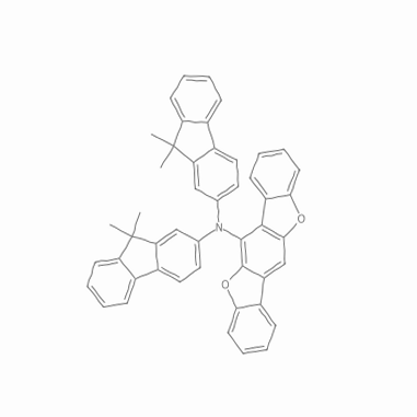 CC1(C)c2ccccc2-c2ccc(N(c3ccc4c(c3)C(C)(C)c3ccccc3-4)c3c4oc5ccccc5c4cc4oc5ccccc5c34)cc21